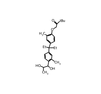 CCC(CC)(c1ccc(OCC(=O)C(C)(C)C)c(C)c1)c1ccc(C(O)C(C)O)c(C)c1